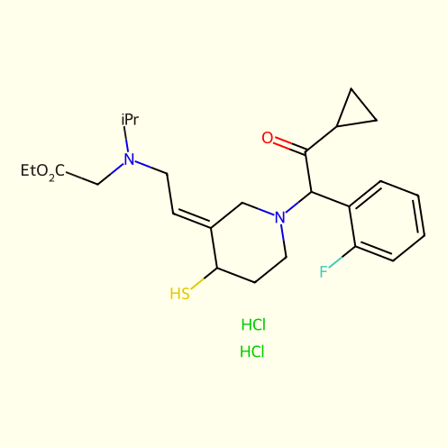 CCOC(=O)CN(C/C=C1\CN(C(C(=O)C2CC2)c2ccccc2F)CCC1S)C(C)C.Cl.Cl